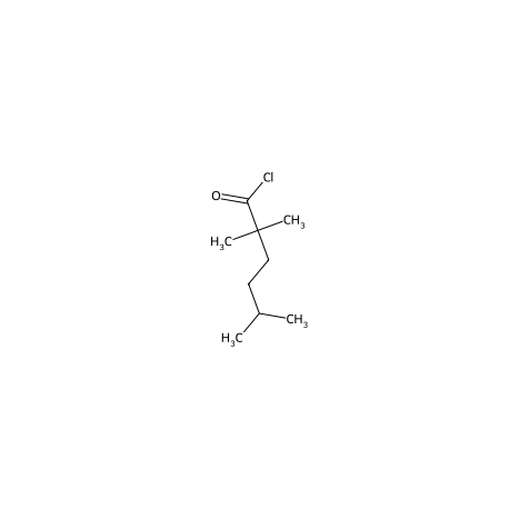 CC(C)CCC(C)(C)C(=O)Cl